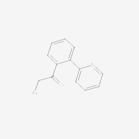 O=C(CBr)c1ccccc1-c1ccccn1